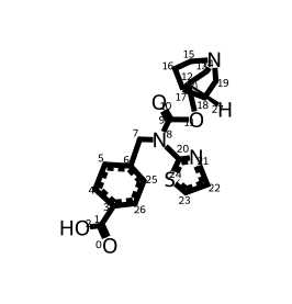 O=C(O)c1ccc(CN(C(=O)O[C@H]2CN3CCC2CC3)c2nccs2)cc1